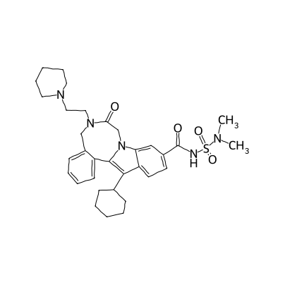 CN(C)S(=O)(=O)NC(=O)c1ccc2c(C3CCCCC3)c3n(c2c1)CC(=O)N(CCN1CCCCC1)Cc1ccccc1-3